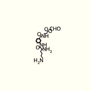 NCCCC[C@H](N)C(=O)Nc1cccc(C(=O)NCCC(=O)OC=O)c1